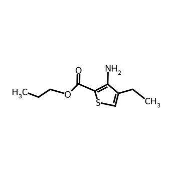 CCCOC(=O)c1scc(CC)c1N